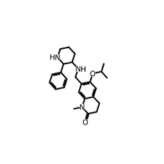 CC(C)Oc1cc2c(cc1CNC1CCCNC1c1ccccc1)N(C)C(=O)CC2